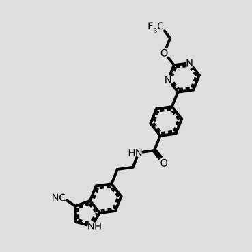 N#Cc1c[nH]c2ccc(CCNC(=O)c3ccc(-c4ccnc(OCC(F)(F)F)n4)cc3)cc12